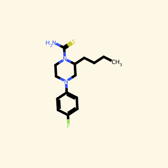 CCCCC1CN(c2ccc(F)cc2)CCN1C(N)=S